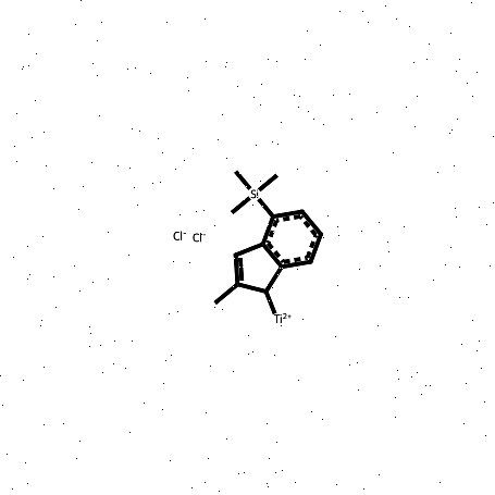 CC1=Cc2c(cccc2[Si](C)(C)C)[CH]1[Ti+2].[Cl-].[Cl-]